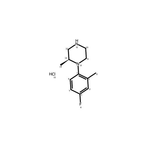 Cc1cc(F)ccc1N1CCNC[C@@H]1C.Cl